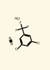 Cl.FC(F)(F)c1cc(Cl)cc(Cl)c1.N#N